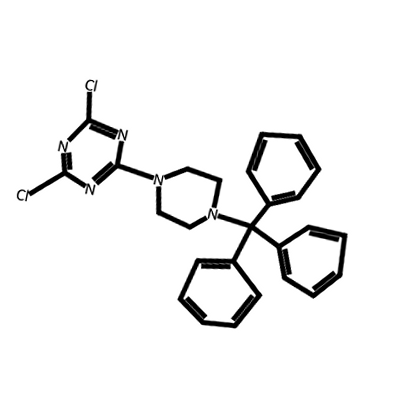 Clc1nc(Cl)nc(N2CCN(C(c3ccccc3)(c3ccccc3)c3ccccc3)CC2)n1